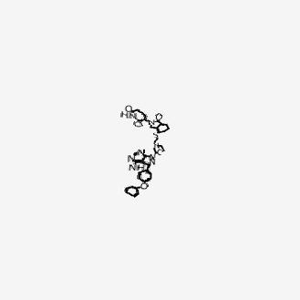 Nc1ncnc2c1c(-c1ccc(Oc3ccccc3)cc1)nn2[C@@H]1CCCN(CCSc2cccc3c2CN(C2CCC(=O)NC2=O)C3=O)C1